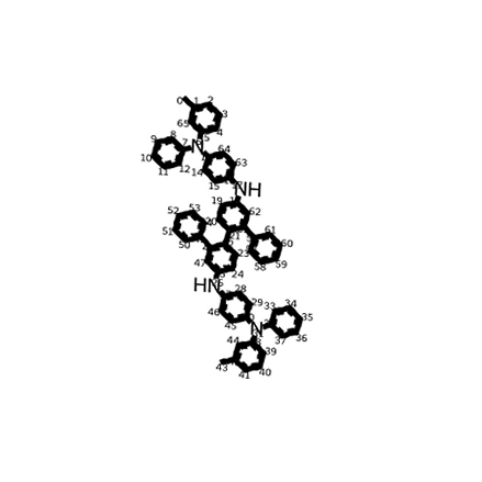 Cc1cccc(N(c2ccccc2)c2ccc(Nc3ccc(-c4ccc(Nc5ccc(N(c6ccccc6)c6cccc(C)c6)cc5)cc4-c4ccccc4)c(-c4ccccc4)c3)cc2)c1